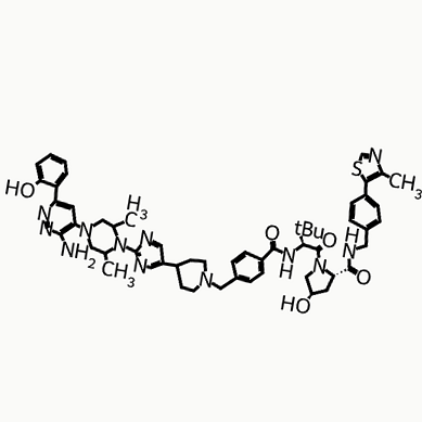 Cc1ncsc1-c1ccc(CNC(=O)[C@@H]2C[C@@H](O)CN2C(=O)[C@@H](NC(=O)c2ccc(CN3CCC(c4cnc(N5C(C)CN(c6cc(-c7ccccc7O)nnc6N)CC5C)nc4)CC3)cc2)C(C)(C)C)cc1